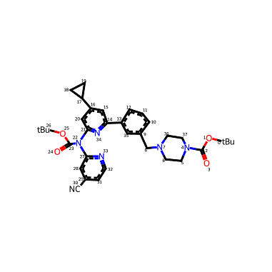 CC(C)(C)OC(=O)N1CCN(Cc2cccc(-c3cc(C4CC4)cc(N(C(=O)OC(C)(C)C)c4cc(C#N)ccn4)n3)c2)CC1